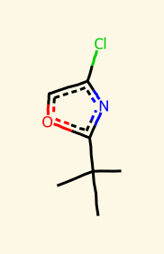 CC(C)(C)c1nc(Cl)co1